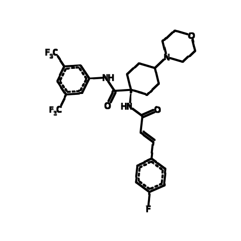 O=C(C=Cc1ccc(F)cc1)NC1(C(=O)Nc2cc(C(F)(F)F)cc(C(F)(F)F)c2)CCC(N2CCOCC2)CC1